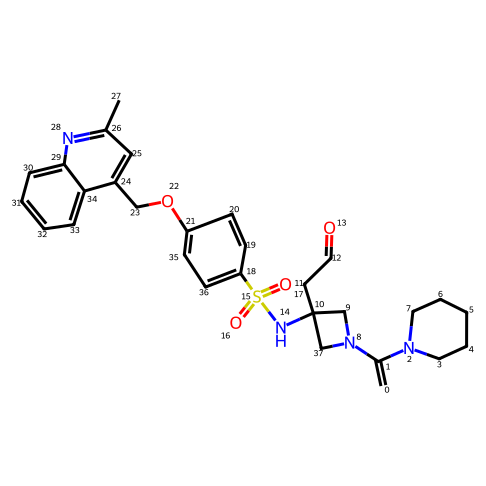 C=C(N1CCCCC1)N1CC(CC=O)(NS(=O)(=O)c2ccc(OCc3cc(C)nc4ccccc34)cc2)C1